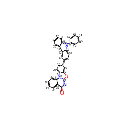 O=c1nc2oc3cc(-c4ccc5c(c4)c4ccccc4n5-c4ccccc4)ccc3n2c2ccccc12